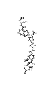 O=C1CCC(N2C(=O)c3ccc(NC[C@H]4C[C@H](n5cc(-c6cnc7c(NCC(O)CO)cccc7n6)c(C6CC6)n5)C4)cc3C2=O)C(=O)N1